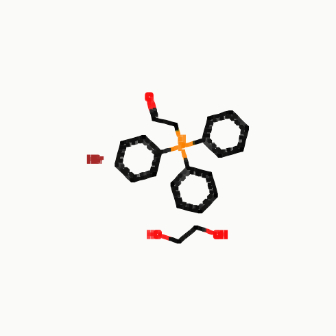 Br.O=CC[PH](c1ccccc1)(c1ccccc1)c1ccccc1.OCCO